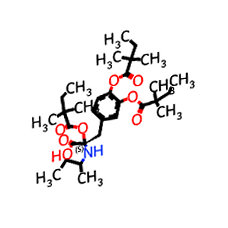 CCC(C)N[C@@](Cc1ccc(OC(=O)C(C)(C)CC)c(OC(=O)C(C)(C)CC)c1)(OC(=O)C(C)(C)CC)C(=O)O